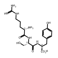 N=C(N)NCCC[C@H](N)C(=O)N[C@@H](CO)C(=O)N[C@@H](Cc1ccc(O)cc1)C(=O)O